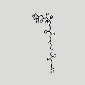 CCOCCNC(=O)COCCOCCNC(=O)CCCS(=O)(=O)NC(=O)Cc1nnn[nH]1